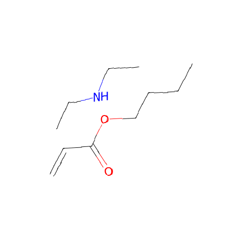 C=CC(=O)OCCCC.CCNCC